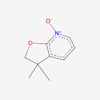 CC1(C)COc2c1ccc[n+]2[O-]